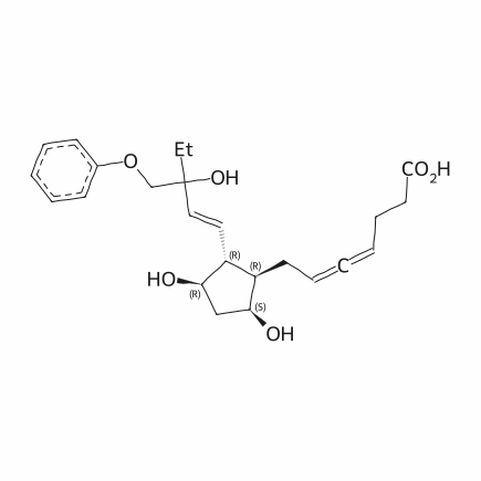 CCC(O)(C=C[C@@H]1[C@@H](CC=C=CCCC(=O)O)[C@@H](O)C[C@H]1O)COc1ccccc1